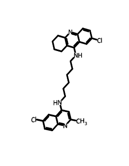 Cc1cc(NCCCCCCNc2c3c(nc4ccc(Cl)cc24)CCCC3)c2cc(Cl)ccc2n1